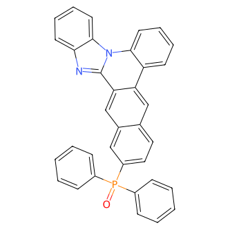 O=P(c1ccccc1)(c1ccccc1)c1ccc2cc3c4ccccc4n4c5ccccc5nc4c3cc2c1